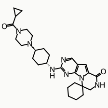 O=C1NCC2(CCCCC2)n2c1cc1cnc(N[C@H]3CC[C@H](N4CCN(C(=O)C5CC5)CC4)CC3)nc12